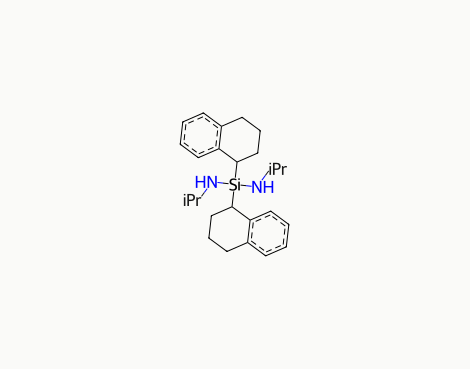 CC(C)N[Si](NC(C)C)(C1CCCc2ccccc21)C1CCCc2ccccc21